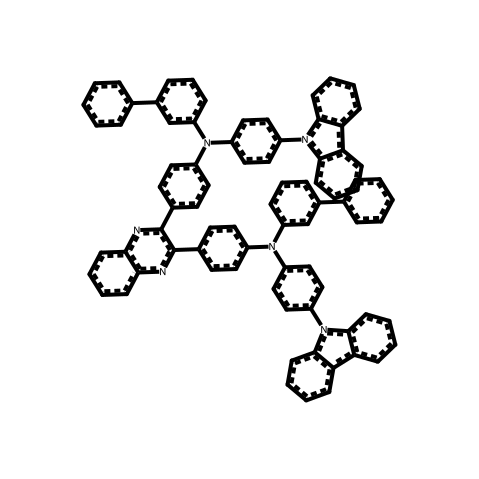 c1ccc(-c2cccc(N(c3ccc(-c4nc5ccccc5nc4-c4ccc(N(c5ccc(-n6c7ccccc7c7ccccc76)cc5)c5cccc(-c6ccccc6)c5)cc4)cc3)c3ccc(-n4c5ccccc5c5ccccc54)cc3)c2)cc1